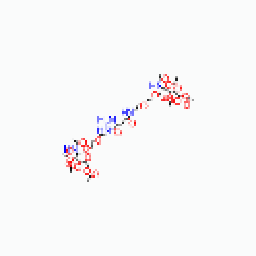 CC(=O)N/C(=C(\OC(C)=O)C(CCOC(C)=O)OC(C)=O)C(O)OCCOCCNC(=O)CCC(N)C(=O)NCCOCCOC1OC(COC(C)=O)C(OC(C)=O)C(OC(C)=O)C1NC(C)=O